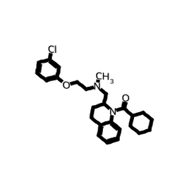 CN(CCOc1cccc(Cl)c1)CC1CCc2ccccc2N1C(=O)C1CCCCC1